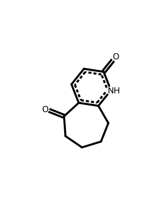 O=C1CCCCc2[nH]c(=O)ccc21